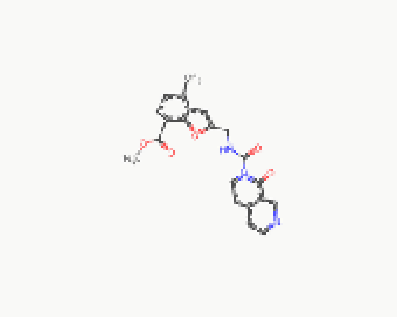 COC(=O)c1ccc(C)c2cc(CNC(=O)n3ccc4ccncc4c3=O)oc12